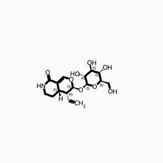 C=C[C@H]1[C@H](O[C@@H]2O[C@H](CO)[C@@H](O)[C@H](O)[C@H]2O)OC=C2C(=O)NCC[C@H]21